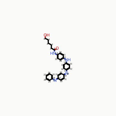 O=C(CCCCCO)Nc1ccc(Nc2ccc(N=C3C=CC(=Nc4ccccc4)C=C3)cc2)cc1